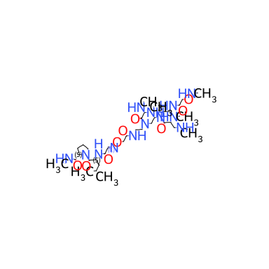 CNCC(NC)C(=O)N(CCNC(=O)CONC)CCN(CCNC(=O)CO/N=C/C(=O)N[C@@H](CC(C)C)C(=O)N1CCC[C@H]1C(=O)NC)C(=O)C(NC)NC